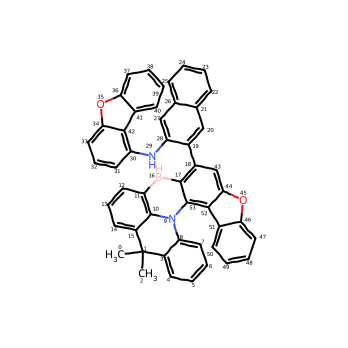 CC1(C)c2ccccc2N2c3c(cccc31)Bc1c(-c3cc4ccccc4cc3Nc3cccc4oc5ccccc5c34)cc3oc4ccccc4c3c12